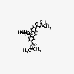 CN(C)CC(=O)c1ccc2c(c1)Cc1cc(C(=O)CN(C)C)ccc1O2.Cl.Cl.O